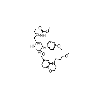 CC[C@H](C[C@H]1C[C@H](c2ccc(OC)cc2)[C@@H](OCc2ccc3c(c2)N(CCCOC)CCO3)CN1)NC(=O)OC